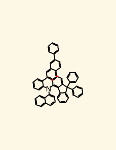 c1ccc(-c2ccc3ccc(-c4ccccc4N(c4cccc5c4-c4ccccc4C5(c4ccccc4)c4ccccc4)c4cccc5ccccc45)cc3c2)cc1